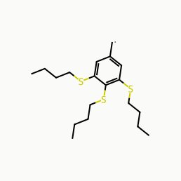 [CH2]c1cc(SCCCC)c(SCCCC)c(SCCCC)c1